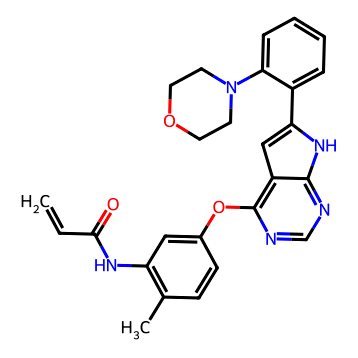 C=CC(=O)Nc1cc(Oc2ncnc3[nH]c(-c4ccccc4N4CCOCC4)cc23)ccc1C